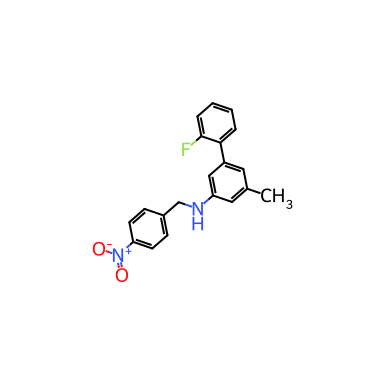 Cc1cc(NCc2ccc([N+](=O)[O-])cc2)cc(-c2ccccc2F)c1